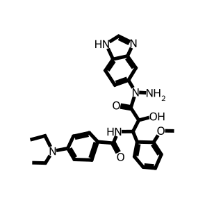 CCN(CC)c1ccc(C(=O)NC(c2ccccc2OC)C(O)C(=O)N(N)c2ccc3[nH]cnc3c2)cc1